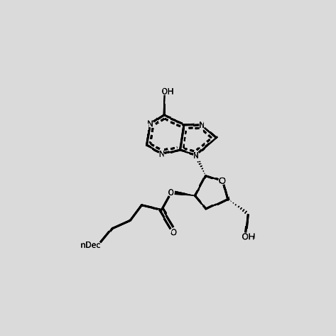 CCCCCCCCCCCCCC(=O)O[C@@H]1C[C@@H](CO)O[C@H]1n1cnc2c(O)ncnc21